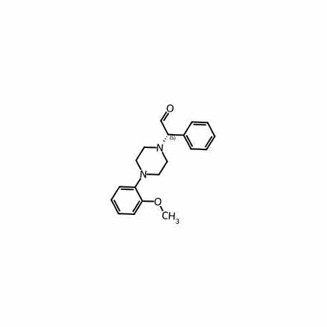 COc1ccccc1N1CCN([C@H](C=O)c2ccccc2)CC1